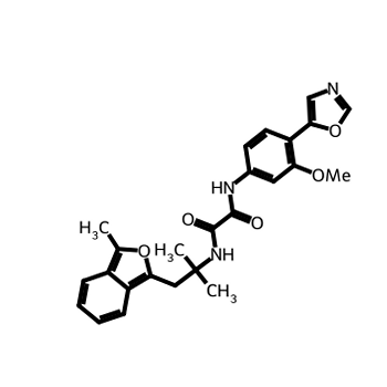 COc1cc(NC(=O)C(=O)NC(C)(C)Cc2oc(C)c3ccccc23)ccc1-c1cnco1